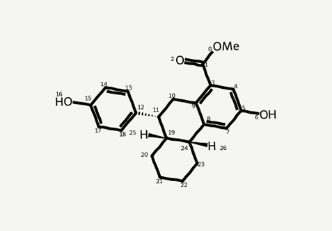 COC(=O)c1cc(O)cc2c1C[C@@H](c1ccc(O)cc1)[C@H]1CCCC[C@@H]21